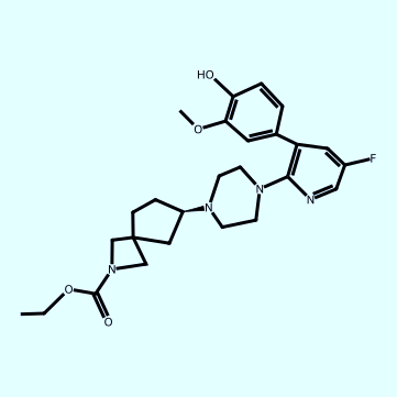 CCOC(=O)N1CC2(CC[C@@H](N3CCN(c4ncc(F)cc4-c4ccc(O)c(OC)c4)CC3)C2)C1